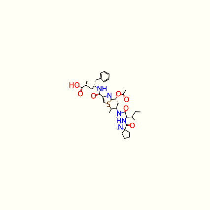 CCC(C)[C@H](NC(=O)C1(N(C)C)CCCC1)C(=O)N(C)[C@H](C[C@@H](OC(C)=O)c1nc(C(=O)N[C@@H](Cc2ccccc2)C[C@H](C)C(=O)O)cs1)C(C)C